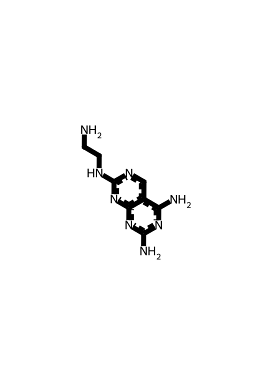 NCCNc1ncc2c(N)nc(N)nc2n1